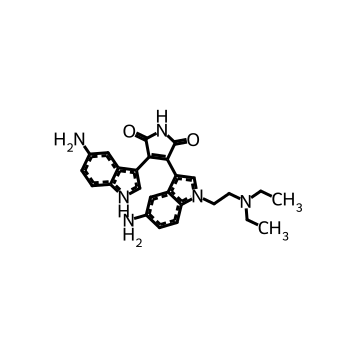 CCN(CC)CCn1cc(C2=C(c3c[nH]c4ccc(N)cc34)C(=O)NC2=O)c2cc(N)ccc21